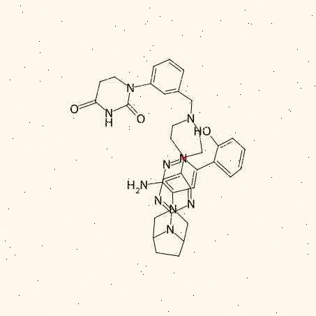 Nc1nnc(-c2ccccc2O)cc1N1CC2CCC(C1)N2c1ncc(C2CCN(Cc3cccc(N4CCC(=O)NC4=O)c3)CC2)cn1